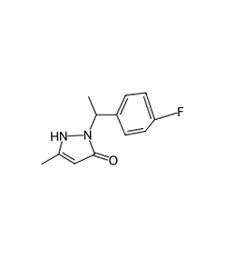 Cc1cc(=O)n(C(C)c2ccc(F)cc2)[nH]1